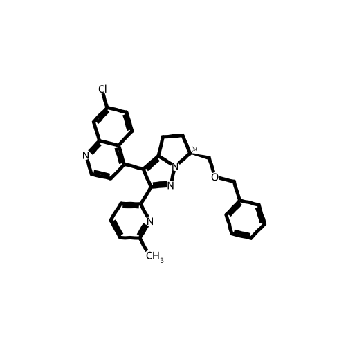 Cc1cccc(-c2nn3c(c2-c2ccnc4cc(Cl)ccc24)CC[C@H]3COCc2ccccc2)n1